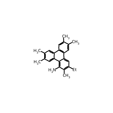 CCc1cc2c3cc(C)c(C)cc3c3cc(C)c(C)cc3c2c(N)c1C